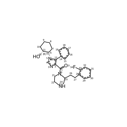 O=C(c1ncn([C@H]2CCCC[C@H]2O)c1-c1ccccc1)N1CCNCC1CCc1ccccc1F